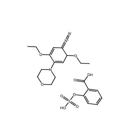 CCOC1=CC(=[N+]=[N-])C(OCC)C=C1N1CCOCC1.O=C(O)c1ccccc1OS(=O)(=O)O